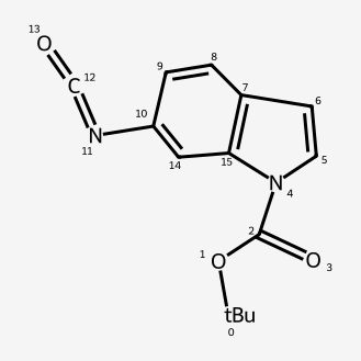 CC(C)(C)OC(=O)n1ccc2ccc(N=C=O)cc21